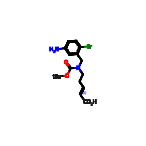 CC(C)(C)OC(=O)N(CC/C=C/C(=O)O)Cc1cc(N)ccc1Br